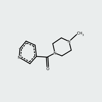 CN1CCN(C(=O)c2cc[c]nc2)CC1